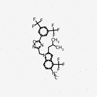 [C-]#[N+]c1ccc2c(cc(CC(C)C)n2Cc2noc(-c3cc(C(F)(F)F)cc(C(F)(F)F)c3)n2)c1C(F)(F)F